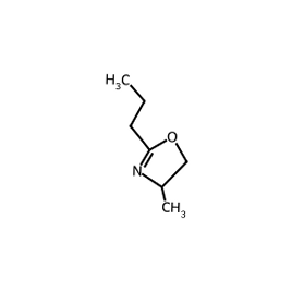 CCCC1=NC(C)CO1